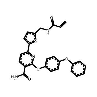 C=CC(=O)NCc1ccc(-c2ccc(C(N)=O)c(Oc3ccc(Oc4ccccc4)cc3)n2)s1